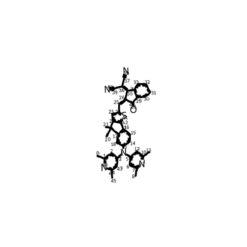 Cc1cc(N(c2cc(C)nc(C)c2)c2ccc3c(c2)C(C)(C)c2cc(/C=C4\C(=O)c5ccccc5C4=C(C#N)C#N)sc2-3)cc(C)n1